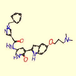 CN(C)CCCOc1ccc2[nH]c(-c3cc(NC(=O)c4cnn(Cc5ccccc5)c4)c[nH]c3=O)cc2c1